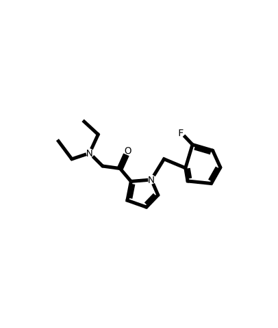 CCN(CC)CC(=O)c1cccn1Cc1ccccc1F